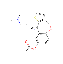 CC(=O)Oc1ccc2c(c1)/C(=C/CCN(C)C)c1sccc1CO2